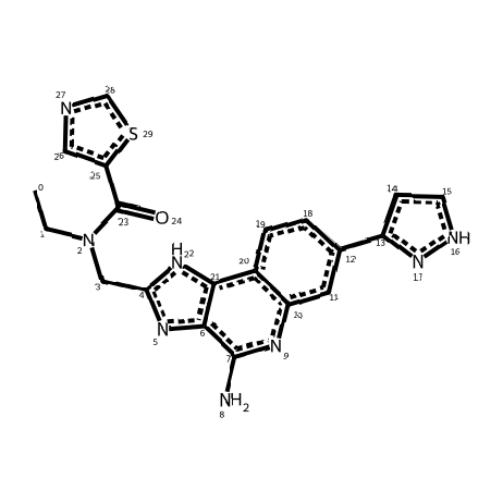 CCN(Cc1nc2c(N)nc3cc(-c4cc[nH]n4)ccc3c2[nH]1)C(=O)c1cncs1